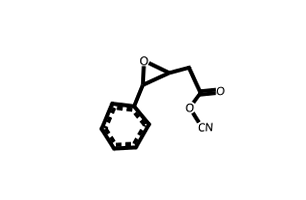 N#COC(=O)CC1OC1c1ccccc1